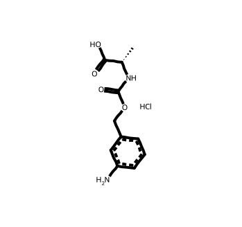 C[C@H](NC(=O)OCc1cccc(N)c1)C(=O)O.Cl